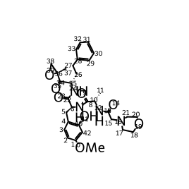 COc1ccc(C[C@H](NC(=O)[C@H](C)NC(=O)CN2CCOCC2)C(=O)N[C@@H](CCc2ccccc2)C(=O)[C@@]2(C)CO2)c(O)c1